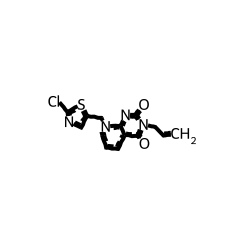 C=CCn1c(=O)nc2n(Cc3cnc(Cl)s3)cccc-2c1=O